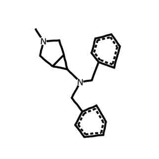 CN1CC2C(C1)C2N(Cc1ccccc1)Cc1ccccc1